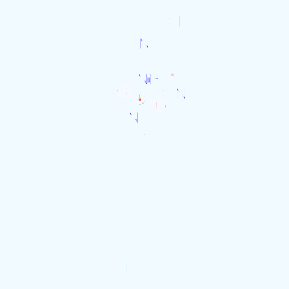 C/N=C\C1=C(N)CC2c3ccc(-c4ccc(F)cc4)cc3C1N2S(=O)(=O)c1ccc(C(F)(F)F)nc1